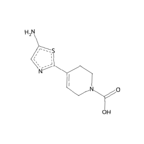 Nc1cnc(C2=CCN(C(=O)O)CC2)s1